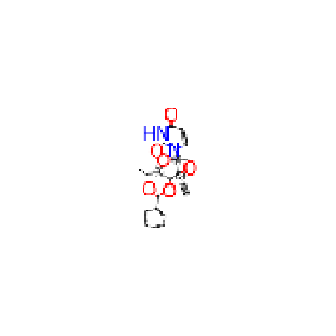 C#C[C@@]12OC[C@@]1(n1ccc(=O)[nH]c1=O)O[C@H](CC)C2OC(=O)c1ccccc1